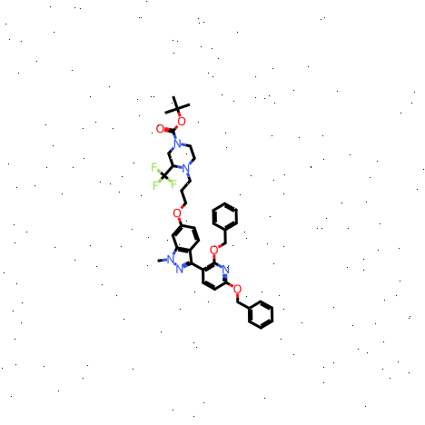 Cn1nc(-c2ccc(OCc3ccccc3)nc2OCc2ccccc2)c2ccc(OCCCN3CCN(C(=O)OC(C)(C)C)CC3C(F)(F)F)cc21